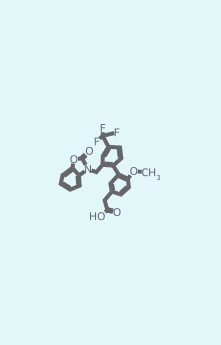 COc1ccc(CC(=O)O)cc1-c1ccc(C(F)(F)F)cc1Cn1c(=O)oc2ccccc21